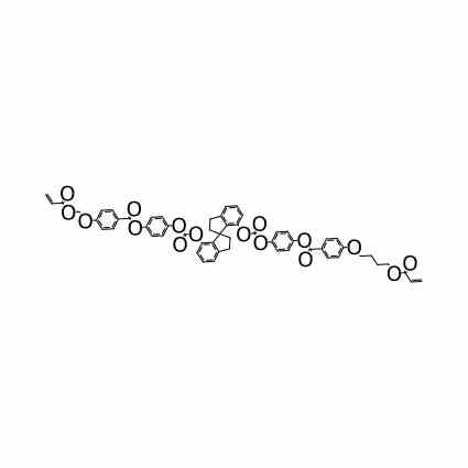 C=CC(=O)OCCCCOc1ccc(C(=O)Oc2ccc(OC(=O)Oc3cccc4c3C3(CC4)CCc4cccc(OC(=O)Oc5ccc(OC(=O)c6ccc(OCOC(=O)C=C)cc6)cc5)c43)cc2)cc1